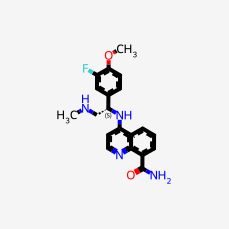 CNC[C@@H](Nc1ccnc2c(C(N)=O)cccc12)c1ccc(OC)c(F)c1